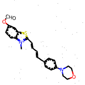 C[n+]1c(/C=C/C=C/c2ccc(N3CCOCC3)cc2)sc2cc(OC=O)ccc21